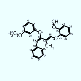 COc1cccc(OC(=Nc2ccccc2)C(C)=COc2ccccc2OC)c1